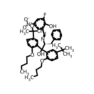 CCCCOc1ccc(C(C)(C)C)cc1C(O)(c1cc(C(C)(C)C)ccc1OCCCC)[C@@H](Cc1ccccc1)N=Cc1cc([N+](=O)[O-])cc(F)c1O